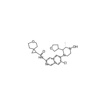 C[C@H]1C(C2CCOC2)N(c2cc3cc(NC(=O)C4CC45CCOCC5)ncc3cc2Cl)CCN1O